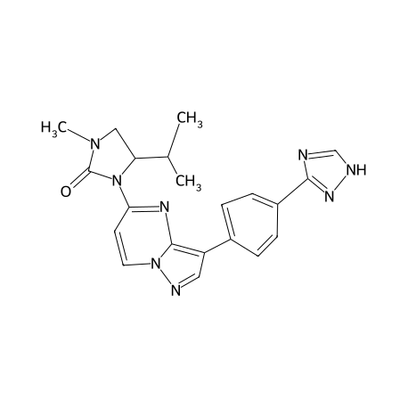 CC(C)C1CN(C)C(=O)N1c1ccn2ncc(-c3ccc(-c4nc[nH]n4)cc3)c2n1